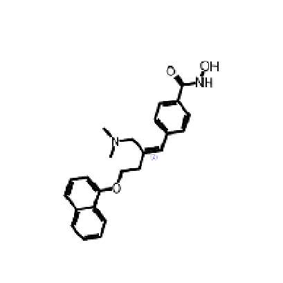 CN(C)C/C(=C\c1ccc(C(=O)NO)cc1)CCOc1cccc2ccccc12